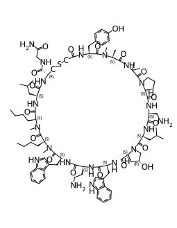 CCCC[C@H]1C(=O)N(C)[C@@H](CCCC)C(=O)N[C@@H](CC(C)C)C(=O)N[C@H](C(=O)NCC(N)=O)CSCC(=O)N[C@@H](Cc2ccc(O)cc2)C(=O)N(C)[C@@H](C)C(=O)NC(C)(C)C(=O)N2CCC[C@H]2C(=O)N[C@@H](CN)C(=O)N[C@@H](CC(C)C)C(=O)N2C[C@H](O)C[C@H]2C(=O)N[C@@H](Cc2c[nH]c3ccccc23)C(=O)N[C@@H](CCN)C(=O)N[C@@H](Cc2c[nH]c3ccccc23)C(=O)N1C